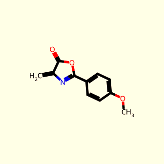 C=C1N=C(c2ccc(OC)cc2)OC1=O